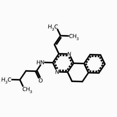 CC(C)=Cc1nc2c(nc1NC(=O)CC(C)C)CCc1ccccc1-2